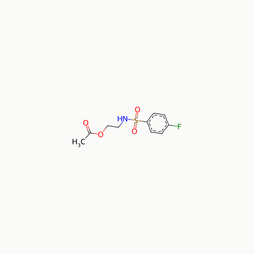 CC(=O)OCCNS(=O)(=O)c1ccc(F)cc1